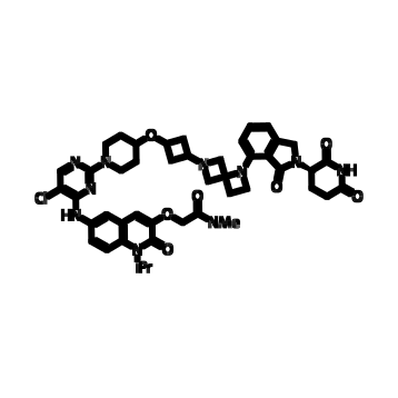 CNC(=O)COc1cc2cc(Nc3nc(N4CCC(OC5CC(N6CC7(CCN7c7cccc8c7C(=O)N([C@@H]7CCC(=O)NC7=O)C8)C6)C5)CC4)ncc3Cl)ccc2n(C(C)C)c1=O